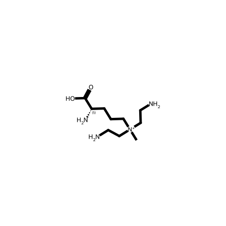 C[N+](CCN)(CCN)CCC[C@H](N)C(=O)O